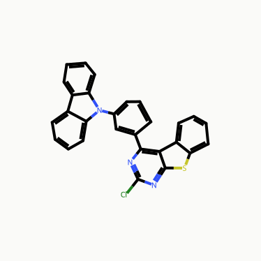 Clc1nc(-c2cccc(-n3c4ccccc4c4ccccc43)c2)c2c(n1)sc1ccccc12